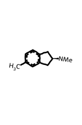 CN[C@@H]1Cc2ccc(C)cc2C1